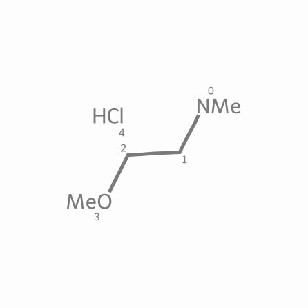 CNCCOC.Cl